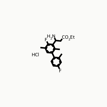 CCOC(=O)CC(N)c1c(C)c(-c2ccc(F)cc2C)cc(C)c1F.Cl